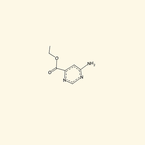 CCOC(=O)c1cc(N)ncn1